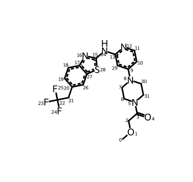 COCC(=O)N1CCN(c2ccnc(Nc3nc4ccc(CC(F)(F)F)cc4s3)c2)CC1